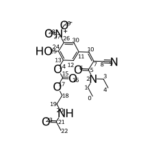 CCN(CC)C(=O)C(C#N)=Cc1cc(OC(=O)OCCNC(C)=O)c(O)c([N+](=O)[O-])c1